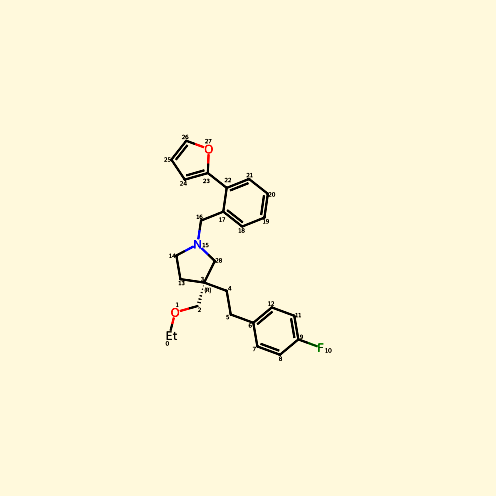 CCOC[C@]1(CCc2ccc(F)cc2)CCN(Cc2ccccc2-c2ccco2)C1